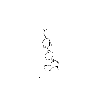 CN1C=CN(C2CCN(c3ncc(CCl)cn3)CC2)c2ccccc21